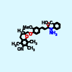 COc1cc(/C=C/C(=O)N(N)c2ccccc2C(=O)O)ccc1OCC1(C)CCc2c(C)c(N=O)c(C)c(C)c2O1